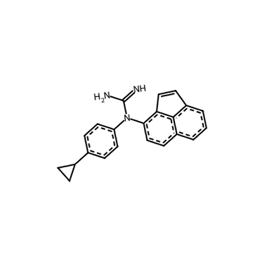 N=C(N)N(c1ccc(C2CC2)cc1)c1ccc2cccc3c2c1C=C3